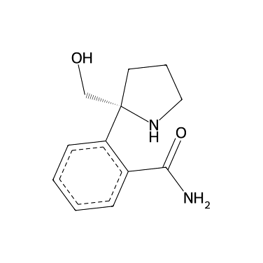 NC(=O)c1ccccc1[C@@]1(CO)CCCN1